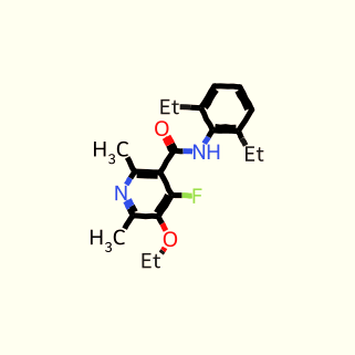 CCOc1c(C)nc(C)c(C(=O)Nc2c(CC)cccc2CC)c1F